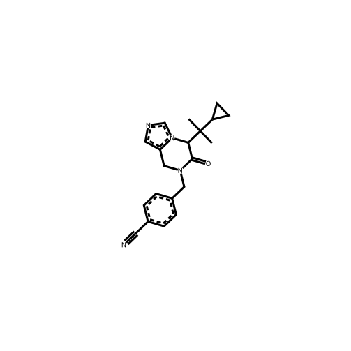 CC(C)(C1CC1)C1C(=O)N(Cc2ccc(C#N)cc2)Cc2cncn21